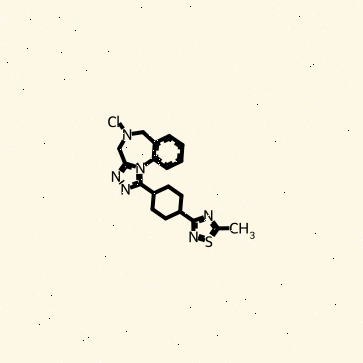 Cc1nc(C2CCC(c3nnc4n3-c3ccccc3CN(Cl)C4)CC2)ns1